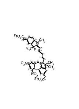 CCOC(=O)Cc1ccc2c(c1)C(C)(C)C(/C=C/C=C/C=C1/N(C)c3ccc(CC(=O)OCC)cc3C1(C)C)=[N+]2Cc1cc([N+](=O)[O-])cc([N+](=O)[O-])c1